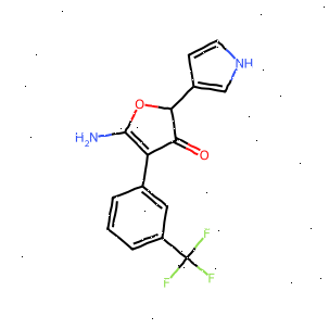 NC1=C(c2cccc(C(F)(F)F)c2)C(=O)C(c2cc[nH]c2)O1